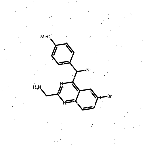 COc1ccc(C(N)c2nc(CN)nc3ccc(Br)cc23)cc1